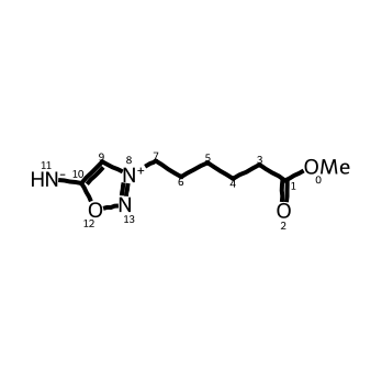 COC(=O)CCCCC[n+]1cc([NH-])on1